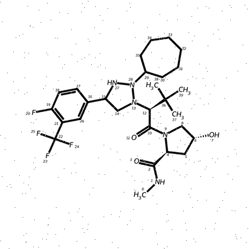 CNC(=O)[C@@H]1C[C@@H](O)CN1C(=O)[C@@H](N1CC(c2ccc(F)c(C(F)(F)F)c2)NN1C1CCCCCC1)C(C)(C)C